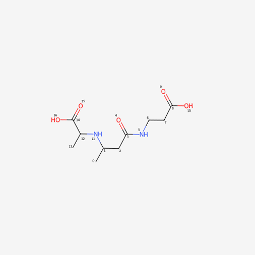 CC(CC(=O)NCCC(=O)O)NC(C)C(=O)O